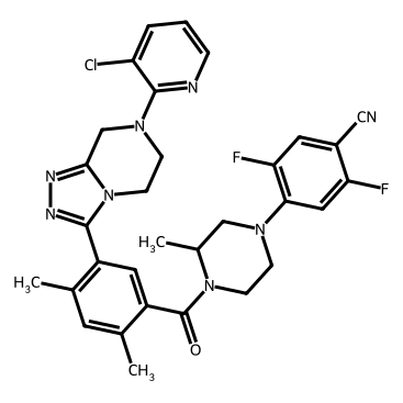 Cc1cc(C)c(-c2nnc3n2CCN(c2ncccc2Cl)C3)cc1C(=O)N1CCN(c2cc(F)c(C#N)cc2F)CC1C